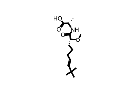 CO[C@H](CCC/C=C/C(C)(C)C)C(=O)N[C@@H](C)C(=O)O